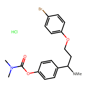 CNC(CCOc1ccc(Br)cc1)c1ccc(OC(=O)N(C)C)cc1.Cl